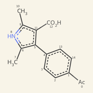 CC(=O)c1ccc(-c2c(C)[nH]c(C)c2C(=O)O)cc1